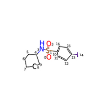 O=S(=O)(NC1CCCCC1)c1ccc(I)cc1